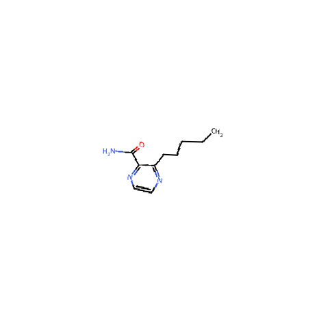 CCCCCc1nccnc1C(N)=O